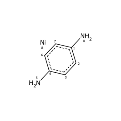 Nc1ccc(N)cc1.[Ni]